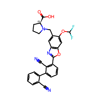 N#Cc1ccccc1-c1cccc(-c2nc3cc(CN4CCC[C@H]4C(=O)O)c(OC(F)F)cc3o2)c1C#N